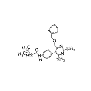 CC(C)NC(=O)Nc1ccc(-c2c(N)nc(N)nc2COCc2ccccc2)cc1